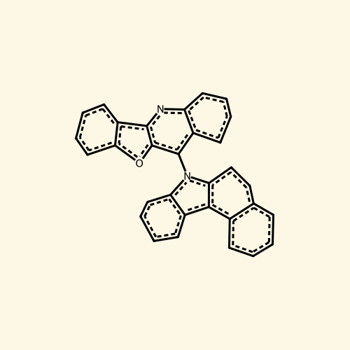 c1ccc2c(c1)ccc1c2c2ccccc2n1-c1c2ccccc2nc2c1oc1ccccc12